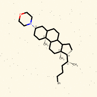 CC(C)CCC[C@@H](C)[C@H]1CCC2C3CCC4C[C@@H](N5CCOCC5)CC[C@]4(C)C3CC[C@@]21C